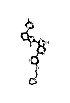 Cc1cn(-c2cccc3[nH]c(-c4n[nH]c5cnc(-c6cncc(OCCN7CCCC7)c6)cc45)nc23)cn1